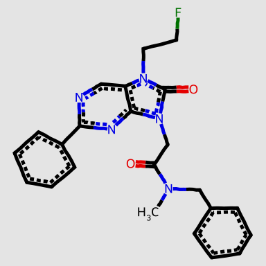 CN(Cc1ccccc1)C(=O)Cn1c(=O)n(CCF)c2cnc(-c3ccccc3)nc21